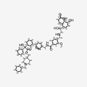 COc1cc(C(=O)NCc2ccc(-c3cccc(C(O)(C(=O)OCC4CCN(Cc5ccccc5)CC4)c4ccccc4)c3)nn2)ccc1CNCC(O)c1ccc(O)c2[nH]c(=O)ccc12